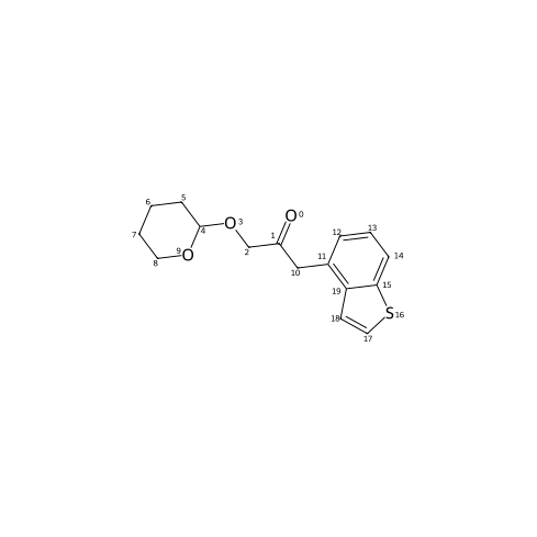 O=C(COC1CCCCO1)Cc1cccc2sccc12